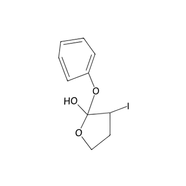 OC1(Oc2ccccc2)OCCC1I